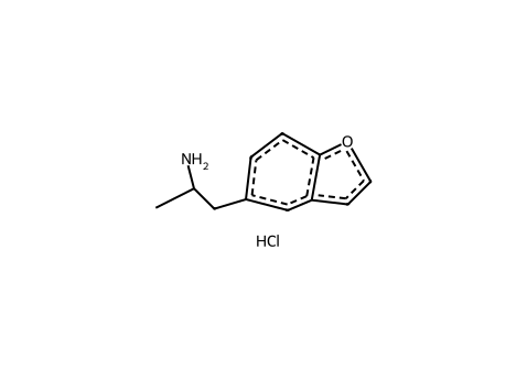 CC(N)Cc1ccc2occc2c1.Cl